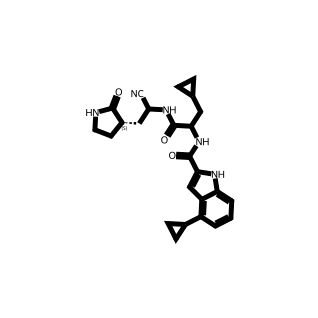 N#CC(C[C@@H]1CCNC1=O)NC(=O)C(CC1CC1)NC(=O)c1cc2c(C3CC3)cccc2[nH]1